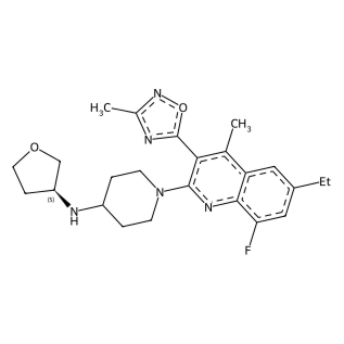 CCc1cc(F)c2nc(N3CCC(N[C@H]4CCOC4)CC3)c(-c3nc(C)no3)c(C)c2c1